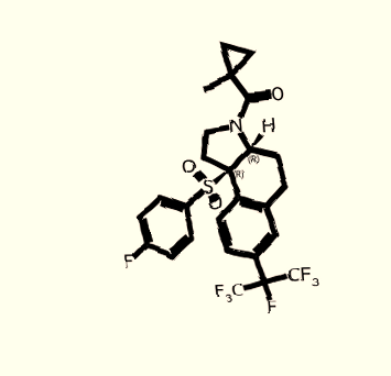 CC1(C(=O)N2CC[C@@]3(S(=O)(=O)c4ccc(F)cc4)c4ccc(C(F)(C(F)(F)F)C(F)(F)F)cc4CC[C@@H]23)CC1